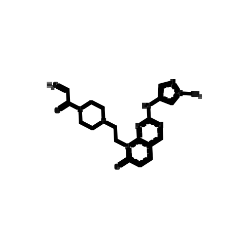 C=CC(=O)N1CCN(CCn2c(=O)ccc3cnc(Nc4cnn(C)c4)nc32)CC1